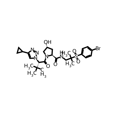 CC(C)(C)[C@@H](C(=O)N1C[C@H](O)C[C@H]1C(=O)NCC(C)(C)S(=O)(=O)c1ccc(Br)cc1)n1cc(C2CC2)nn1